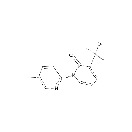 Cc1ccc(-n2cccc(C(C)(C)O)c2=O)nc1